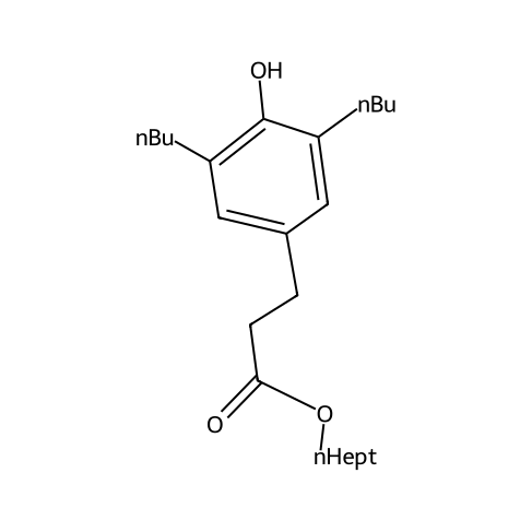 CCCCCCCOC(=O)CCc1cc(CCCC)c(O)c(CCCC)c1